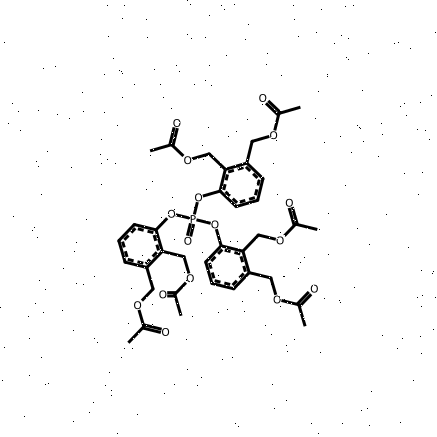 CC(=O)OCc1cccc(OP(=O)(Oc2cccc(COC(C)=O)c2COC(C)=O)Oc2cccc(COC(C)=O)c2COC(C)=O)c1COC(C)=O